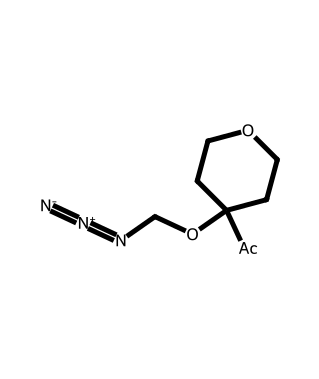 CC(=O)C1(OCN=[N+]=[N-])CCOCC1